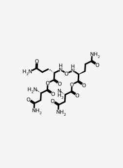 NC(=O)CC[C@H](NON[C@@H](CCC(N)=O)C(=O)OC(=O)[C@@H](N)CC(N)=O)C(=O)OC(=O)[C@@H](N)CC(N)=O